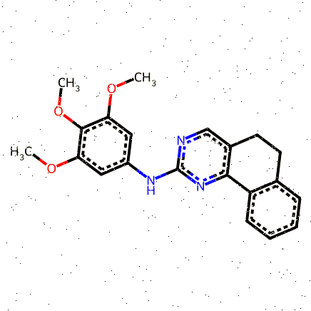 COc1cc(Nc2ncc3c(n2)-c2ccccc2CC3)cc(OC)c1OC